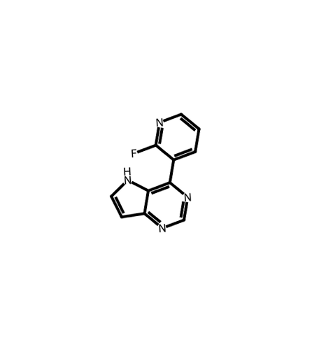 Fc1ncccc1-c1ncnc2cc[nH]c12